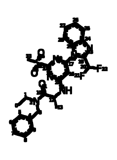 CCN(Cc1ccccc1)C(=O)[C@H](C)Nc1cc(-n2c(C(F)F)nc3ccccc32)nc(S(C)(=O)=O)n1